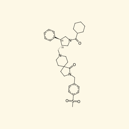 CS(=O)(=O)c1ccc(CN2CCC3(CCN(C[C@H]4CN(C(=O)C5CCCCC5)C[C@@H]4c4ccccc4)CC3)C2=O)cc1